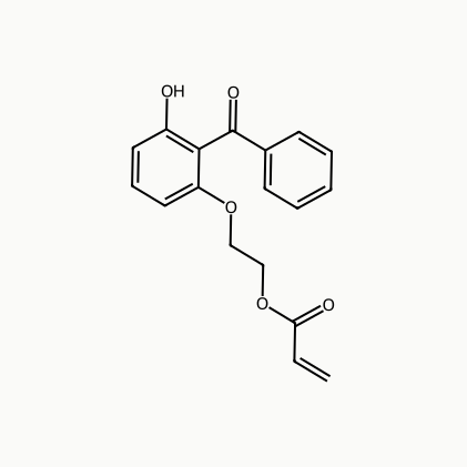 C=CC(=O)OCCOc1cccc(O)c1C(=O)c1ccccc1